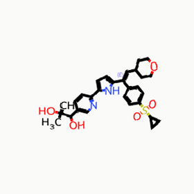 CC(C)(O)C(O)c1ccc(-c2ccc(/C(=C/C3CCOCC3)c3ccc(S(=O)(=O)C4CC4)cc3)[nH]2)nc1